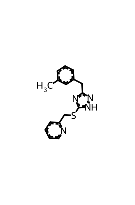 Cc1cccc(Cc2n[nH]c(SCc3ccccn3)n2)c1